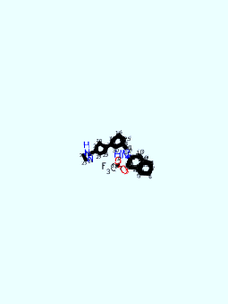 O=C(OC1c2ccccc2CC1NCc1cccc(-c2ccc(-c3ncc[nH]3)cc2)c1)C(F)(F)F